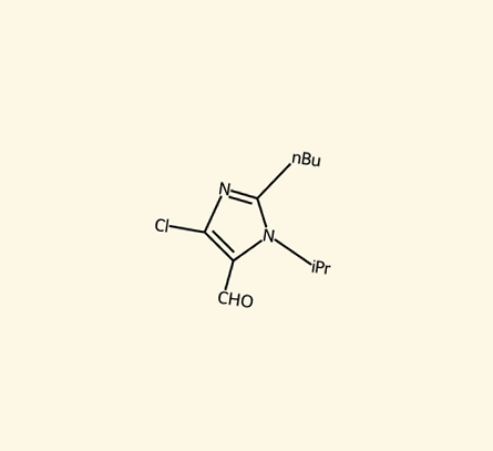 CCCCc1nc(Cl)c(C=O)n1C(C)C